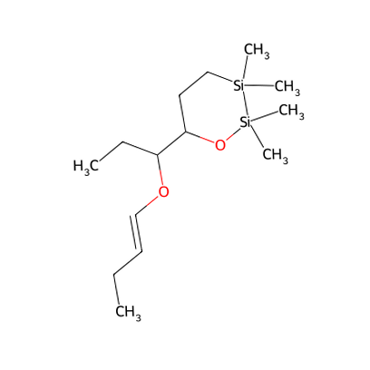 CCC=COC(CC)C1CC[Si](C)(C)[Si](C)(C)O1